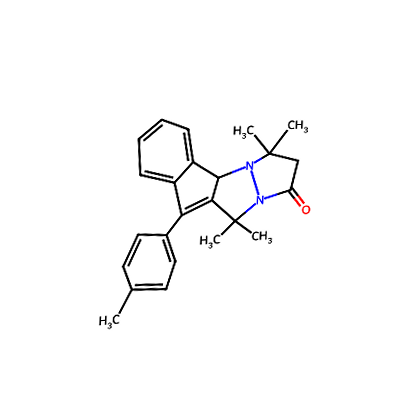 Cc1ccc(C2=C3C(c4ccccc42)N2N(C(=O)CC2(C)C)C3(C)C)cc1